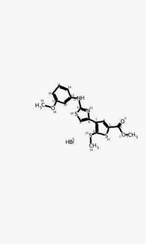 Br.COC(=O)c1cc(-c2csc(Nc3cccc(OC)c3)n2)c(SC)s1